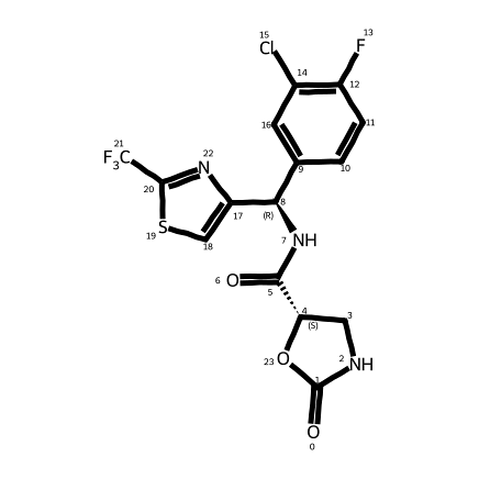 O=C1NC[C@@H](C(=O)N[C@H](c2ccc(F)c(Cl)c2)c2csc(C(F)(F)F)n2)O1